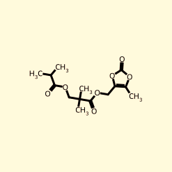 Cc1oc(=O)oc1COC(=O)C(C)(C)COC(=O)C(C)C